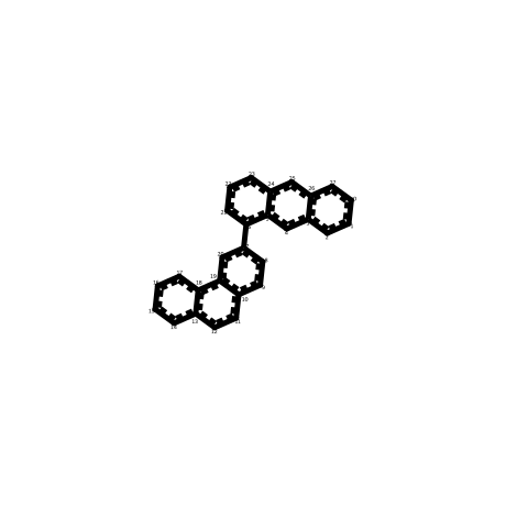 c1ccc2cc3c(-c4ccc5ccc6ccccc6c5c4)cccc3cc2c1